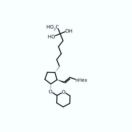 CCCCCCC=C[C@@H]1[C@@H](CCCCCC(O)(O)C(=O)O)CC[C@H]1OC1CCCCO1